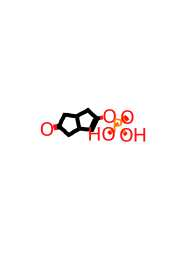 O=C1CC2C=C(OP(=O)(O)O)CC2C1